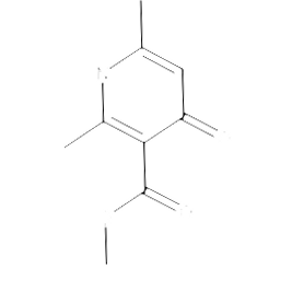 COC(=O)C1=C(C)[N]C(C)=CC1=O